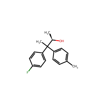 Cc1ccc(C(C)(c2ccc(F)cc2)[C@@H](C)O)cc1